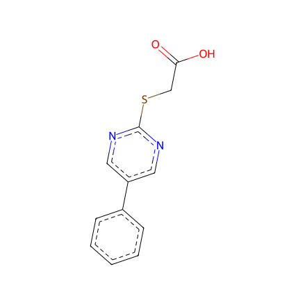 O=C(O)CSc1ncc(-c2ccccc2)cn1